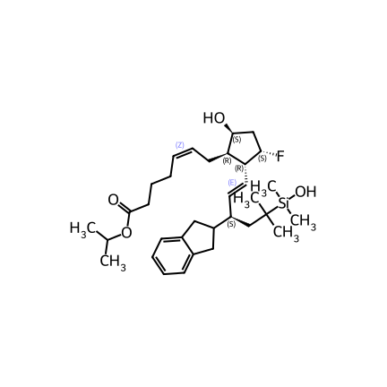 CC(C)OC(=O)CCC/C=C\C[C@@H]1[C@@H](/C=C/[C@@H](CC(C)(C)[Si](C)(C)O)C2Cc3ccccc3C2)[C@@H](F)C[C@@H]1O